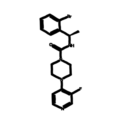 C[C@@H](NC(=O)N1CCN(c2ccncc2F)CC1)c1ccccc1Br